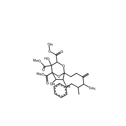 C=C(CCC12OC(C(=O)OO)C(O)(C(=O)OC)C(C(=O)OC)(O1)C(O)C2O)C(OC(C)=O)C(C)Cc1ccccc1